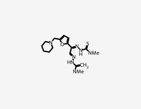 C=C(NC)N/N=C/C(=N\NC(=S)NC)c1ccc(CN2CCCCC2)o1